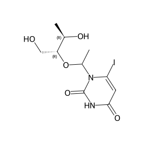 CC(O[C@H](CO)[C@@H](C)O)n1c(I)cc(=O)[nH]c1=O